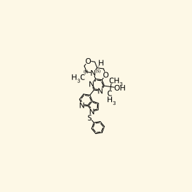 C[C@@H]1COC[C@H]2COc3c(nc(-c4ccnc5c4ccn5Sc4ccccc4)nc3C(C)(C)O)N21